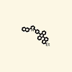 CCc1cccc2c(C3=c4ccccc4=C(c4ccc(-c5cccc(C6=CC7C=CC=CC7C=C6)n5)cc4)C4C=CC=CC34)cccc12